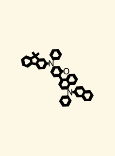 CC1(C)c2ccccc2-c2ccc(N(c3ccccc3)c3ccc4c(c3)Oc3cccc5c(N(c6ccccc6)c6ccc7ccccc7c6)ccc-4c35)cc21